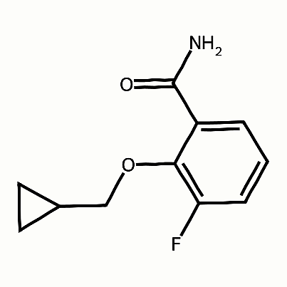 NC(=O)c1cccc(F)c1OCC1CC1